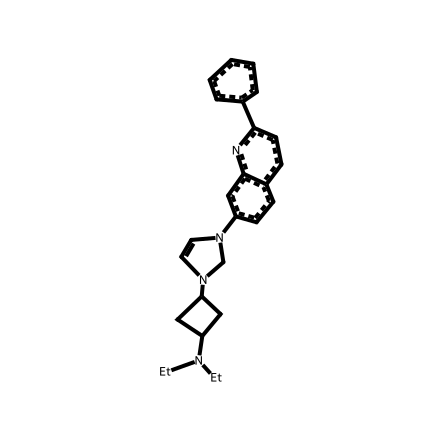 CCN(CC)C1CC(N2C=CN(c3ccc4ccc(-c5ccccc5)nc4c3)C2)C1